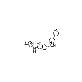 CC(C)(C)c1cc(NC(=O)Cc2ccc(-c3cnc4cc(-c5ccncc5)ccn34)cc2F)no1